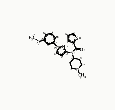 CN1CCC(N(C(=O)c2cccs2)c2ccn(-c3cccc(OC(F)(F)F)c3)n2)CC1